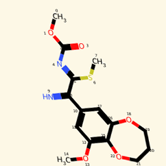 COC(=O)N=C(SC)C(=N)c1cc(OC)c2c(c1)OCCCO2